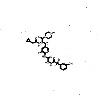 C[C@H](NC(=O)C(F)(F)c1cccc(C#N)c1)C(=O)Nc1ccc([C@H](C)[C@@H](NC(=O)CC2CC2)C(=O)N2CCN(C)CC2)cc1F